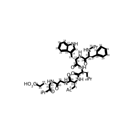 CC(=O)C[C@H](NC(=O)[C@H](CC(C)C)NC(=O)[C@H](Cc1c[nH]c2ccccc12)NC(=O)[C@H](Cc1ccccc1)NC(C)C)C(=O)NCC(=O)N[C@@H](CCC(=O)O)C(=O)C(C)C